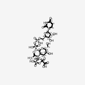 CC(=O)N[C@H]1[C@@H](OP(=O)(O)OP(=O)(O)OC[C@H]2O[C@@H](n3ccc(=O)[nH]c3=O)[C@H](O)[C@@H]2O)O[C@H](CO)[C@@H](O)[C@@H]1O[C@@](C)(OP(=O)(O)O)C(=O)O